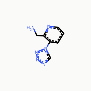 NCc1ncccc1-n1cnnn1